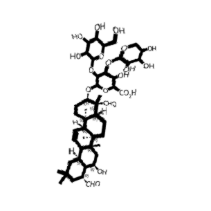 CC1(C)C[C@@H]2C([C@H](O)C[C@]3(C)C2C=C[C@@H]2[C@@]4(C)CC[C@H](OC5OC(C(=O)O)C(O)C(OC6OCC(O)C(O)C6O)C5OC5OC(CO)C(O)C(O)C5O)[C@@](C)(C=O)[C@@H]4CC[C@]23C)[C@H](C=O)C1